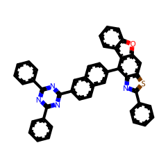 c1ccc(-c2nc(-c3ccccc3)nc(-c3ccc4cc(-c5c6nc(-c7ccccc7)sc6cc6oc7ccccc7c56)ccc4c3)n2)cc1